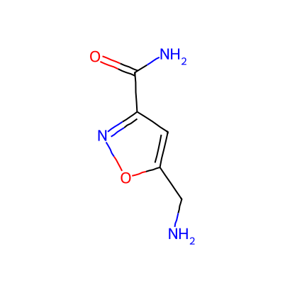 NCc1cc(C(N)=O)no1